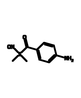 CS(C)(N=O)C(=O)c1ccc(N)cc1